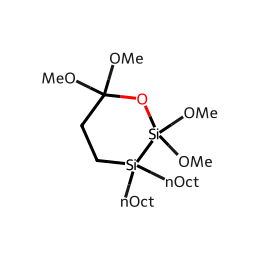 CCCCCCCC[Si]1(CCCCCCCC)CCC(OC)(OC)O[Si]1(OC)OC